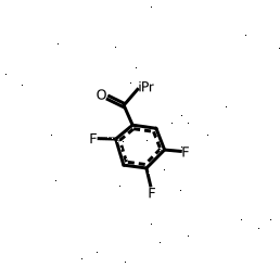 CC(C)C(=O)c1cc(F)c(F)cc1F